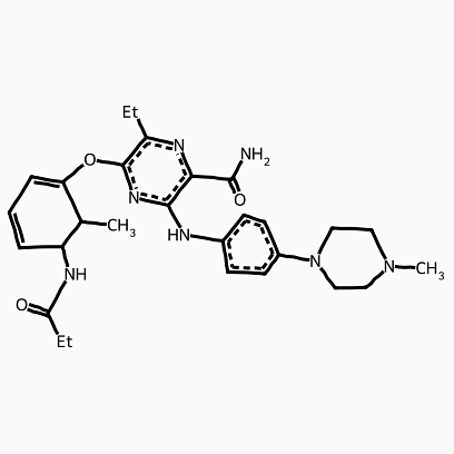 CCC(=O)NC1C=CC=C(Oc2nc(Nc3ccc(N4CCN(C)CC4)cc3)c(C(N)=O)nc2CC)C1C